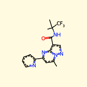 Cc1cc(-c2ccccn2)nc2c(C(=O)NC(C)(C)C(F)(F)F)cnn12